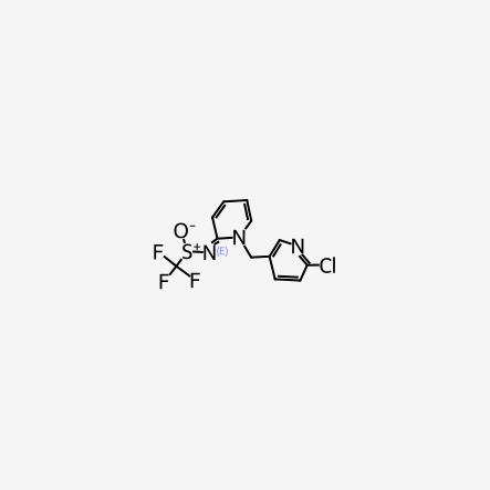 [O-][S+](/N=c1\ccccn1Cc1ccc(Cl)nc1)C(F)(F)F